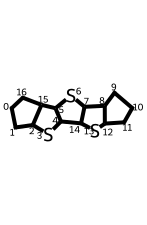 C1CC2SC3C(SC4C5CCCC5SC43)C2C1